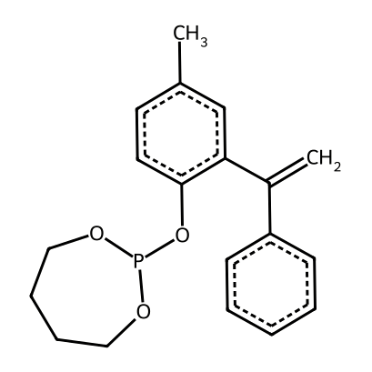 C=C(c1ccccc1)c1cc(C)ccc1OP1OCCCCO1